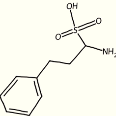 NC(CCc1ccccc1)S(=O)(=O)O